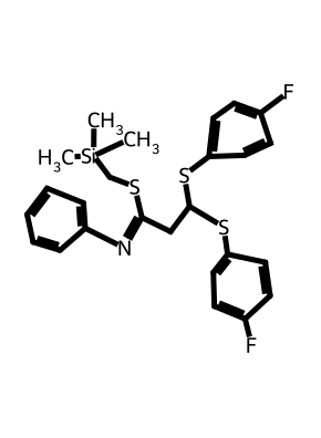 C[Si](C)(C)CSC(CC(Sc1ccc(F)cc1)Sc1ccc(F)cc1)=Nc1ccccc1